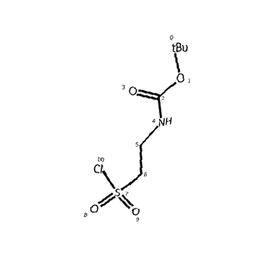 CC(C)(C)OC(=O)NCCS(=O)(=O)Cl